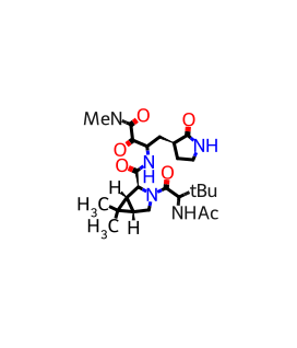 CNC(=O)C(=O)C(C[C@@H]1CCNC1=O)NC(=O)[C@@H]1[C@@H]2[C@H](CN1C(=O)C(NC(C)=O)C(C)(C)C)C2(C)C